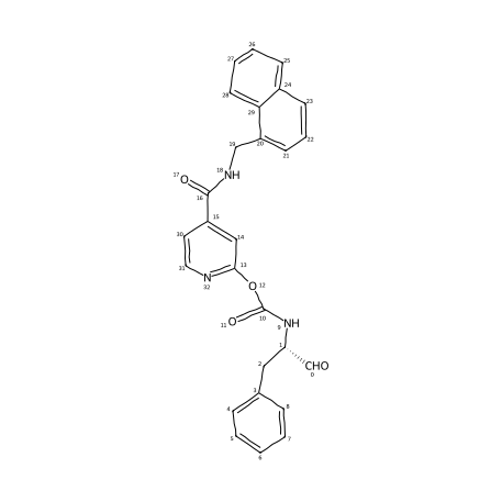 O=C[C@H](Cc1ccccc1)NC(=O)Oc1cc(C(=O)NCc2cccc3ccccc23)ccn1